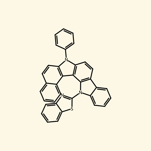 c1ccc(-n2c3ccc4ccccc4c3c3c2ccc2c4ccccc4n(-c4nc5ccccc5s4)c23)cc1